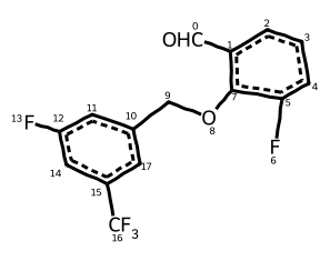 O=Cc1cccc(F)c1OCc1cc(F)cc(C(F)(F)F)c1